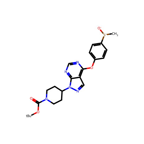 C[S+]([O-])c1ccc(Oc2ncnc3c2cnn3C2CCN(C(=O)OC(C)(C)C)CC2)cc1